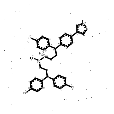 CN(CCC(c1ccc(Cl)cc1)c1ccc(Br)cc1)N(C)CCC(c1ccc(Cl)cc1)c1ccc(-c2cn[nH]c2)cc1